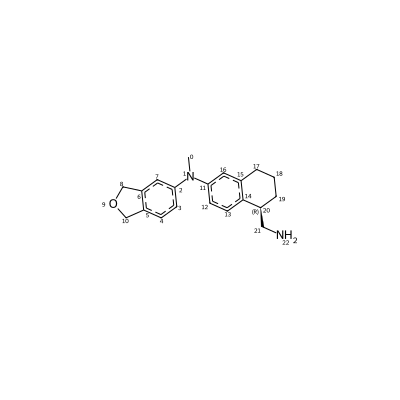 CN(c1ccc2c(c1)COC2)c1ccc2c(c1)CCC[C@H]2CN